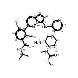 COC(=O)N(C)[C@@H]1[C@H](N)C[C@H](c2ccncc2Nc2ncc3ccc(-c4c(F)ccc(C(=O)NC(C)C)c4F)nn23)C[C@@H]1C